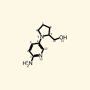 Nc1ccc(N2CCCC2CO)cn1